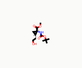 COC(=O)[C@@]1(NC(=O)OC(C)(C)C)C[C@H]1CCO